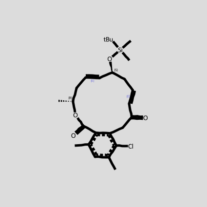 Cc1cc(C)c2c(c1Cl)CC(=O)/C=C/C[C@H](O[Si](C)(C)C(C)(C)C)/C=C/C[C@@H](C)OC2=O